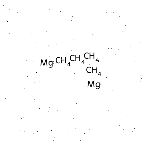 C.C.C.C.[Mg].[Mg]